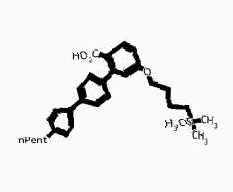 CCCCCc1ccc(-c2ccc(-c3cc(OCCCC[Si](C)(C)C)ccc3C(=O)O)cc2)cc1